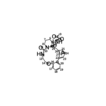 CS(=O)(=O)N[C@H]1CCCN2C(=O)NCCOc3ccccc3-c3cccc(c3F)C[C@@H]12